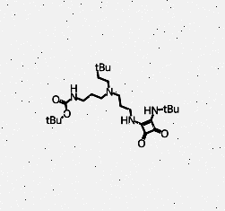 CC(C)(C)CCN(CCCNC(=O)OC(C)(C)C)CCCNc1c(NC(C)(C)C)c(=O)c1=O